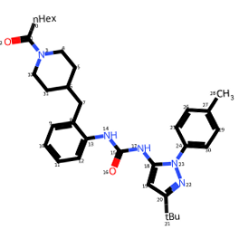 CCCCCCC(=O)N1CCC(Cc2ccccc2NC(=O)Nc2cc(C(C)(C)C)nn2-c2ccc(C)cc2)CC1